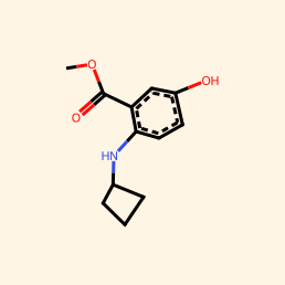 COC(=O)c1cc(O)ccc1NC1CCC1